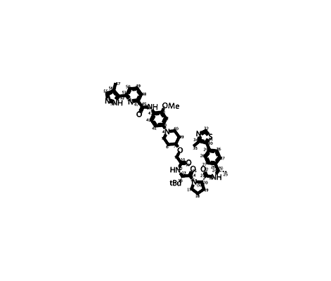 COc1cc(N2CCC(OCC(=O)N[C@H](C(=O)N3CCC[C@H]3C(=O)N[C@@H](C)c3ccc(-c4scnc4C)cc3)C(C)(C)C)CC2)ccc1NC(=O)c1cccc(-c2[nH]ncc2C)n1